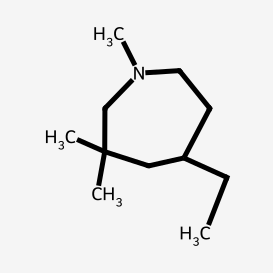 CCC1CCN(C)CC(C)(C)C1